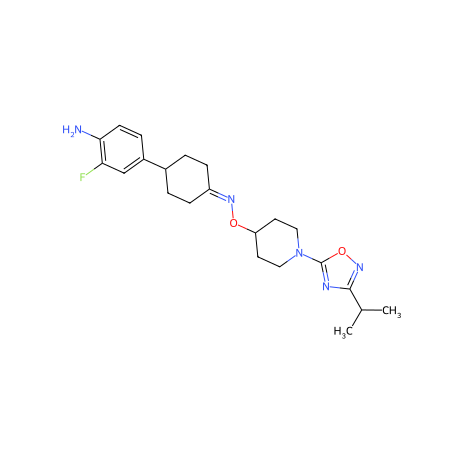 CC(C)c1noc(N2CCC(ON=C3CCC(c4ccc(N)c(F)c4)CC3)CC2)n1